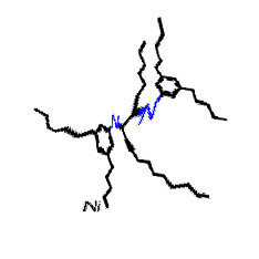 CCCCCCCCC#CC(=N\c1cc(CCCCC)cc(CCCCC)c1)/C(CCCCCC)=N/c1cc(CCCCC)cc(CCCCC)c1.[Ni]